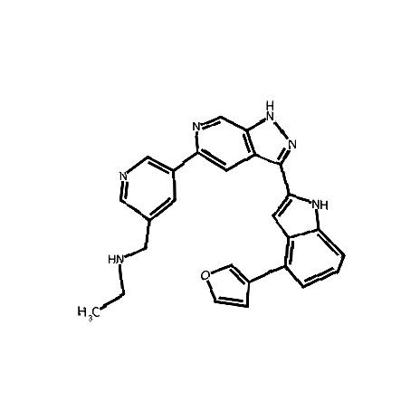 CCNCc1cncc(-c2cc3c(-c4cc5c(-c6ccoc6)cccc5[nH]4)n[nH]c3cn2)c1